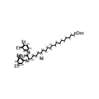 CCCCCCCCCCCCCCCCCCCCCCCCCCCCCC(=N/c1cc(CC)cc(CC)c1)/C(CCCC)=N/c1ccc(CC)c(CC)c1.[Ni]